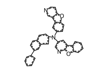 c1ccc(-c2ccc3ccc(N(c4ccc5oc6ccncc6c5c4)c4cnc5oc6ccccc6c5c4)cc3c2)cc1